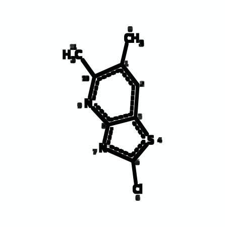 Cc1cc2sc(Cl)nc2nc1C